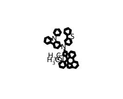 C[Si]1(C)c2ccccc2C2(c3ccccc3-c3cccc4cccc2c34)c2ccc(N(c3ccc4sc5ccccc5c4c3)c3ccc4c5ccccc5n(-c5ccccc5)c4c3)cc21